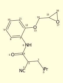 CC(C)CC(C#N)C(=O)Nc1ccccc1OCC1CO1